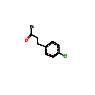 CCC(=O)CCc1ccc(Cl)cc1